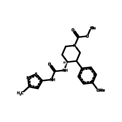 COc1ccc(C2CN(C(=O)OC(C)(C)C)CC[C@H]2NC(=O)Nc2cc(C)ns2)cc1